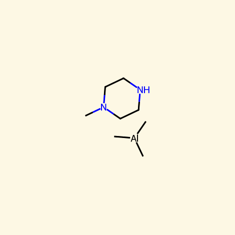 CN1CCNCC1.[CH3][Al]([CH3])[CH3]